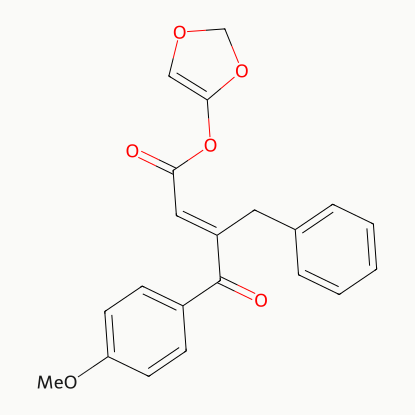 COc1ccc(C(=O)C(=CC(=O)OC2=COCO2)Cc2ccccc2)cc1